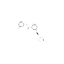 CC1=NC(C#Cc2ccc(F)c(C(=O)Nc3cccc(F)c3)c2)CS1